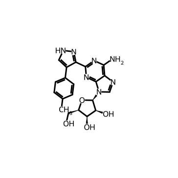 Cc1ccc(-c2c[nH]nc2-c2nc(N)c3ncn([C@@H]4O[C@H](CO)[C@H](O)[C@@H]4O)c3n2)cc1